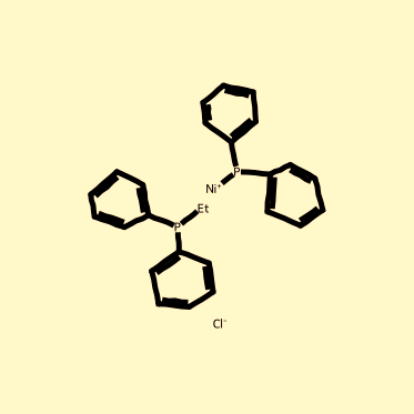 CCP(c1ccccc1)c1ccccc1.[Cl-].[Ni+][P](c1ccccc1)c1ccccc1